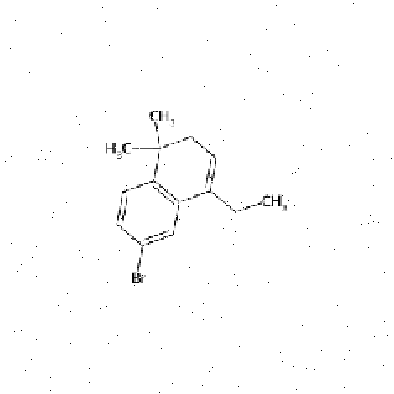 CCC1=CCC(C)(C)c2ccc(Br)cc21